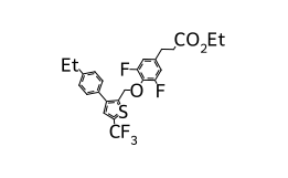 CCOC(=O)CCc1cc(F)c(OCc2sc(C(F)(F)F)cc2-c2ccc(CC)cc2)c(F)c1